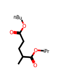 CCCCOC(=O)CCC(C)C(=O)OC(C)C